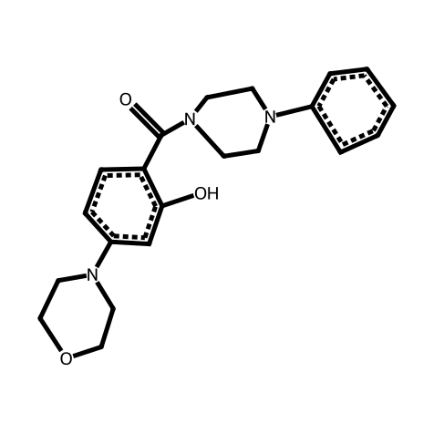 O=C(c1ccc(N2CCOCC2)cc1O)N1CCN(c2ccccc2)CC1